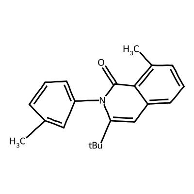 Cc1cccc(-n2c(C(C)(C)C)cc3cccc(C)c3c2=O)c1